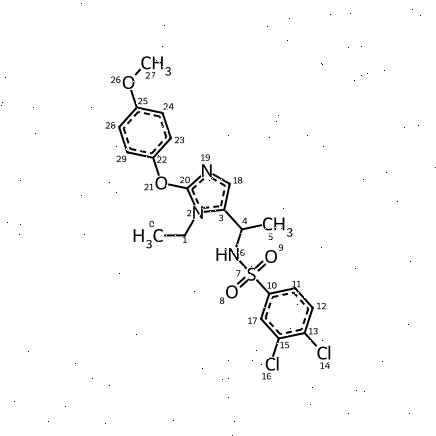 CCn1c(C(C)NS(=O)(=O)c2ccc(Cl)c(Cl)c2)cnc1Oc1ccc(OC)cc1